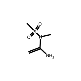 C=C(N)N(C)S(C)(=O)=O